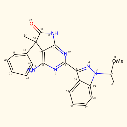 COC(C)n1nc(-c2nc(N)c3c(n2)NC(=O)C3(C)c2ccccc2)c2ccccc21